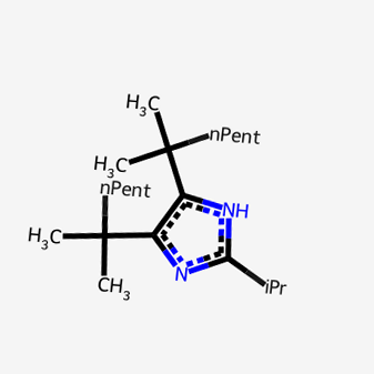 CCCCCC(C)(C)c1nc(C(C)C)[nH]c1C(C)(C)CCCCC